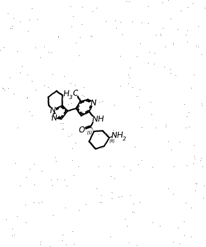 Cc1cnc(NC(=O)[C@H]2CCC[C@@H](N)C2)cc1-c1cnn2c1CCCC2